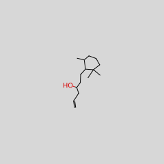 C=CCC(O)CCC1C(C)CCCC1(C)C